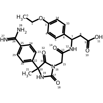 CCOc1ccc(C(CC(=O)O)NC(=O)CN2C(=O)NC(C)(c3ccc(C(=N)N)cc3)C2=O)cc1